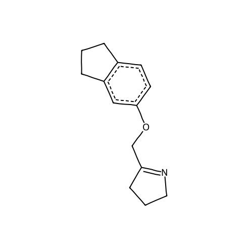 c1cc2c(cc1OCC1=NCCC1)CCC2